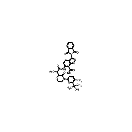 CC(=O)OC(C(=O)Nc1ccc2c(N3C(=O)c4ccccc4C3=O)nsc2c1C(N)=O)C1OCCN(c2ccc(C(F)(F)F)c(C(C)(C)O)n2)C1=O